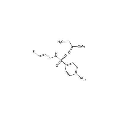 C=CC(=O)OC.Nc1ccc(S(=O)(=O)NCC=CF)cc1